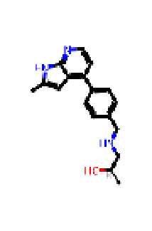 Cc1cc2c(-c3ccc(CNC[C@@H](C)O)cc3)ccnc2[nH]1